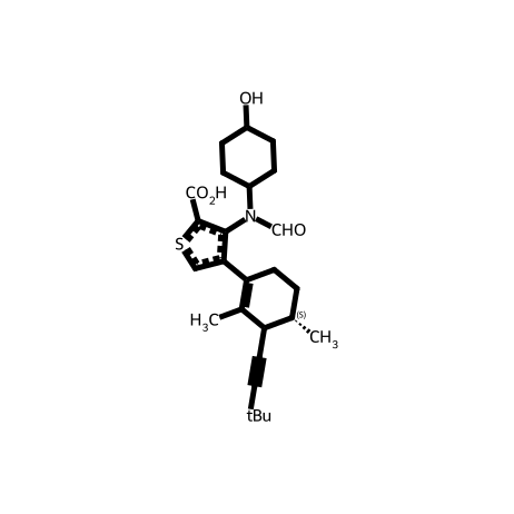 CC1=C(c2csc(C(=O)O)c2N(C=O)C2CCC(O)CC2)CC[C@H](C)C1C#CC(C)(C)C